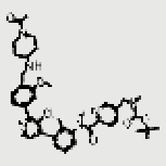 COc1cc(-c2nccc(-c3cccc(NC(=O)c4ccc(CN(C)C(=O)OC(C)(C)C)cn4)c3C)c2Cl)ccc1CNC1CCN(C(C)=O)CC1